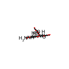 CCCCCCCC(=O)NCCCN(CCCNCCCNCCCCNCCCN)CCCNC(=O)CCCCCCC